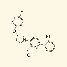 CCc1ccccc1-c1ccc(N2CCC(Oc3ccc(F)cn3)C2)c(CO)n1